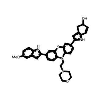 COc1ccc2[nH]c(-c3ccc4c(c3)Sc3cc(-c5cc6c([nH]5)C=CC(O)C6)ccc3N4CCN3CCOCC3)cc2c1